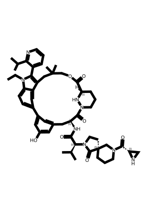 CCn1c(-c2cccnc2C(C)C)c2c3cc(ccc31)-c1cc(O)cc(c1)C[C@H](NC(=O)[C@H](C(C)C)N1CC[C@]3(CCCN(C(=O)[C@@H]4CN4)C3)C1=O)C(=O)N1CCC[C@H](N1)C(=O)OCC(C)(C)C2